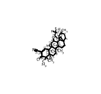 CC1(C)CCC23CC[C@]4(C)[C@@]5(C)CC[C@@H]6C(C)(C)C(=O)C(C#N)=C[C@@]6(C)[C@@H]5CC(=O)[C@]4(C2C1)N(CC(F)(F)F)C3=O